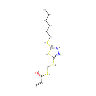 C=CC(=O)SCSc1nnc(SCCCCCC)s1